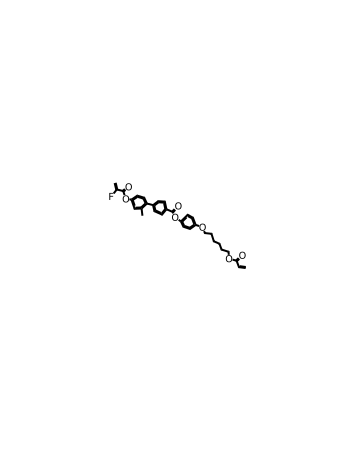 C=CC(=O)OCCCCCCOc1ccc(OC(=O)c2ccc(-c3ccc(OC(=O)C(=C)F)cc3C)cc2)cc1